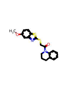 COc1ccc2sc(SCC(=O)N3CCCc4ccccc43)nc2c1